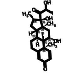 C[C@@H]1C[C@H]2[C@@H]3CCC4=CC(=O)C=C[C@]4(C)[C@@]3(F)[C@@H](O)C[C@]2(C)[C@@]1(O)C(=O)C(O)I